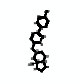 Brc1ccc(-c2ccc(CN3CCN4CCC[C@H]4C3)nn2)cc1